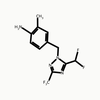 Cc1cc(Cn2nc(C(F)(F)F)nc2C(F)F)ccc1N